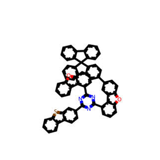 c1ccc2c(c1)-c1ccccc1C21c2ccccc2-c2cc(-c3ccc4oc5cccc(-c6nc(-c7ccc8c(c7)sc7ccccc78)nc(-c7cccc8oc9ccccc9c78)n6)c5c4c3)ccc21